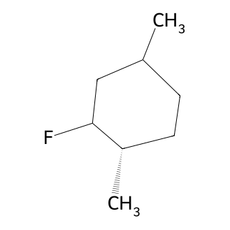 CC1CC[C@H](C)C(F)C1